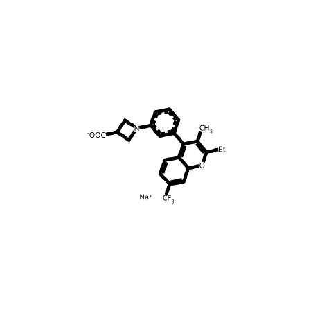 CCC1=C(C)C(c2cccc(N3CC(C(=O)[O-])C3)c2)=C2C=CC(C(F)(F)F)=CC2O1.[Na+]